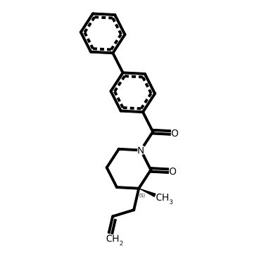 C=CC[C@]1(C)CCCN(C(=O)c2ccc(-c3ccccc3)cc2)C1=O